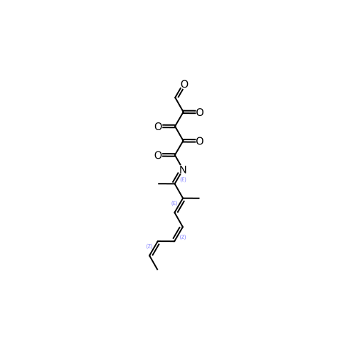 C\C=C/C=C\C=C(C)\C(C)=N\C(=O)C(=O)C(=O)C(=O)C=O